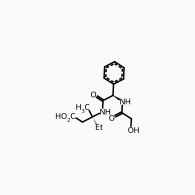 CC[C@@](C)(CC(=O)O)NC(=O)[C@H](NC(=O)CO)c1ccccc1